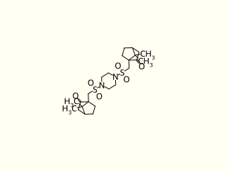 CC1(C)C2CCC1(CS(=O)(=O)N1CCN(S(=O)(=O)CC34CCC(CC3=O)C4(C)C)CC1)C(=O)C2